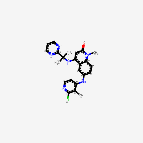 Cn1c(=O)cc(NC(C)(C)c2ncccn2)c2cc(Nc3ccnc(Cl)c3C#N)ccc21